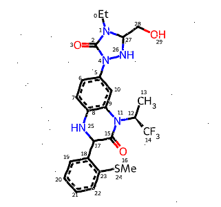 CCN1C(=O)N(c2ccc3c(c2)N([C@@H](C)C(F)(F)F)C(=O)C(c2ccccc2SC)N3)NC1CO